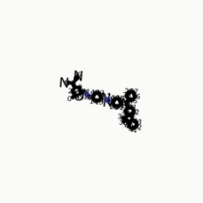 CC1=CC(=C(C#N)C#N)C=C(/C=C/c2ccc(/N=N/c3ccc(N(c4ccccc4)c4ccc5c(c4)C(C)(C)c4ccccc4-5)cc3)cc2)O1